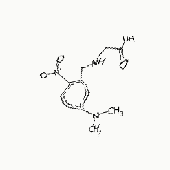 CN(C)c1ccc([N+](=O)[O-])c(CNCC(=O)O)c1